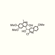 COc1ccc2nc(Cl)c(C(O)c3c(O)nc(C)c4cc(OC)c(OC)cc34)cc2c1